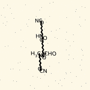 CN(CCCCCCOC#N)C(=O)N(C=O)CCCCCCOC(=O)NCCCCCCOC#N